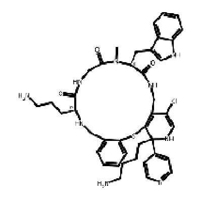 CN1C(=O)CNC(=O)[C@H](CCCN)NCc2ccccc2SC2=C(CNC(=O)[C@@H]1Cc1c[nH]c3ccccc13)C(Cl)=CNC2(CCCCN)c1ccncc1